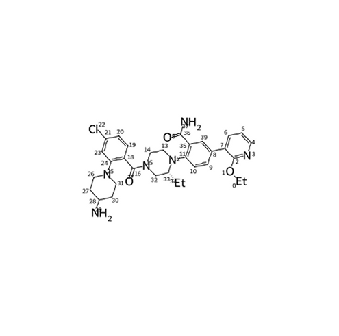 CCOc1ncccc1-c1ccc(N2CCN(C(=O)c3ccc(Cl)cc3N3CCC(N)CC3)C[C@H]2CC)c(C(N)=O)c1